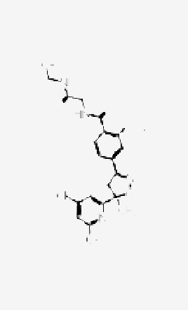 Cc1cc(C2=NO[C@@](c3cc(Cl)cc(C(F)(F)F)n3)(C(F)(F)F)C2)ccc1C(=O)NCC(=O)NCC(F)(F)F